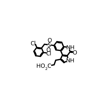 O=C(O)CCc1c[nH]c2c(=O)[nH]c3ccc(S(=O)(=O)Cc4c(Cl)cccc4Cl)cc3c12